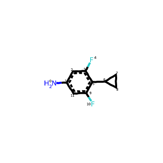 Nc1cc(F)c(C2CC2)c(F)c1